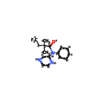 CC(C)(CC(F)(F)F)C(=O)N(c1ccccc1)c1cnccn1